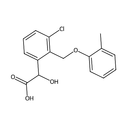 Cc1ccccc1OCc1c(Cl)cccc1C(O)C(=O)O